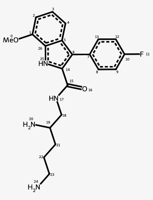 COc1cccc2c(-c3ccc(F)cc3)c(C(=O)NCC(N)CCCN)[nH]c12